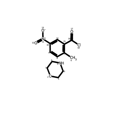 C1COCCN1.Cc1ccc([N+](=O)[O-])cc1C(=O)Cl